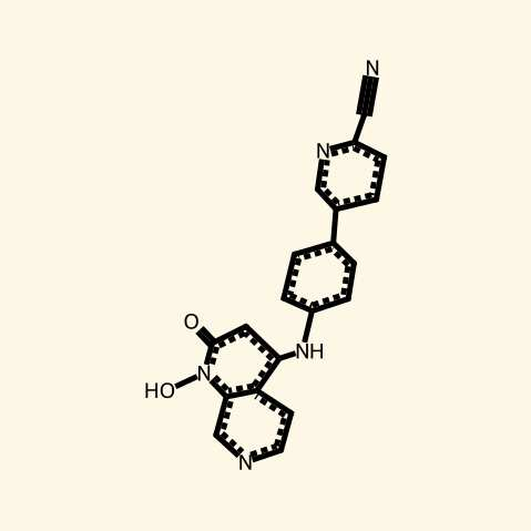 N#Cc1ccc(-c2ccc(Nc3cc(=O)n(O)c4cnccc34)cc2)cn1